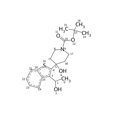 CC(O)c1c(C2(O)CCN(C(=O)OC(C)(C)C)CC2)sc2ccccc12